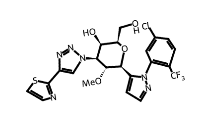 CO[C@@H]1[C@@H](n2cc(-c3nccs3)nn2)[C@@H](O)[C@@H](CO)O[C@H]1c1ccnn1-c1cc(Cl)ccc1C(F)(F)F